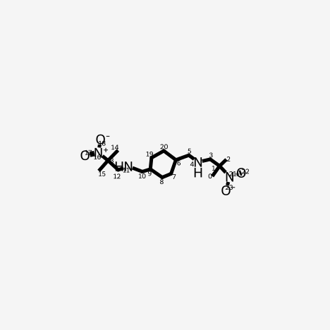 CC(C)(CNCC1CCC(CNCC(C)(C)[N+](=O)[O-])CC1)[N+](=O)[O-]